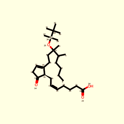 CCCCC(C)C(C)(CCC1=CCC(=O)[C@@H]1C/C=C\CCCC(=O)O)O[Si](C)(C)C(C)(C)C